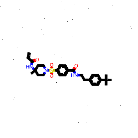 C=CC(=O)NC1(C)CCN(S(=O)(=O)c2ccc(C(=O)NCCc3ccc(C(C)(C)C)cc3)cc2)CC1